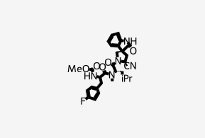 COC(=O)NC(Cc1ccc(F)cc1)C(=O)N(C)[C@@H](CC(C)C)C(=O)N1C[C@]2(C[C@H]1C#N)C(=O)Nc1ccccc12